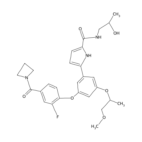 COCC(C)Oc1cc(Oc2ccc(C(=O)N3CCC3)cc2F)cc(-c2ccc(C(=O)NCC(C)O)[nH]2)c1